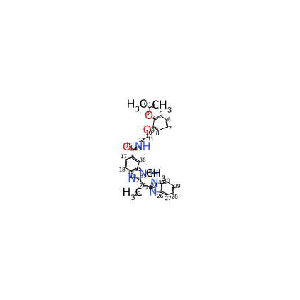 CC(C)Oc1ccccc1OCCNC(=O)c1ccc2nc(C(C)c3nc4ccccc4[nH]3)n(C)c2c1